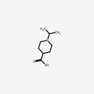 CC(C)N1CCC(C(=O)S)CC1